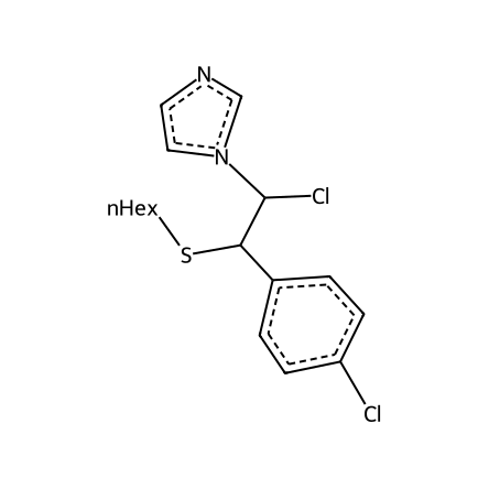 CCCCCCSC(c1ccc(Cl)cc1)C(Cl)n1ccnc1